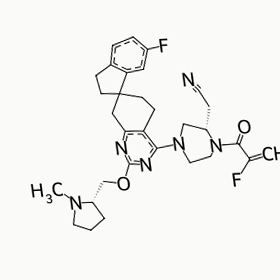 C=C(F)C(=O)N1CCN(c2nc(OC[C@@H]3CCCN3C)nc3c2CCC2(CCc4ccc(F)cc42)C3)C[C@@H]1CC#N